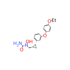 CCOc1ccc(Oc2cccc([C@@H]3C[C@H]3CN(O)C(N)=O)c2)cc1